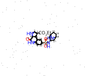 CCOC(=O)c1c[nH]c2c(=O)[nH]c3ccc(S(=O)(=O)NC4CC5CCC(C4)N5)cc3c12